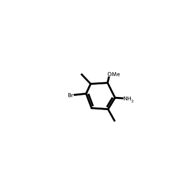 COC1C(N)=C(C)C=C(Br)C1C